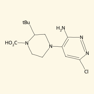 CC(C)(C)C1CN(c2cc(Cl)nnc2N)CCN1C(=O)O